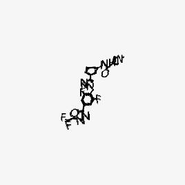 CN1CC(C(=O)Nc2cccc(-c3cn(Cc4c(F)cc(-c5nnc(C(F)F)o5)cc4F)nn3)c2)C1